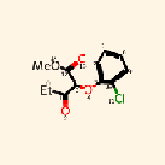 CCC(=O)C(Oc1ccccc1Cl)C(=O)OC